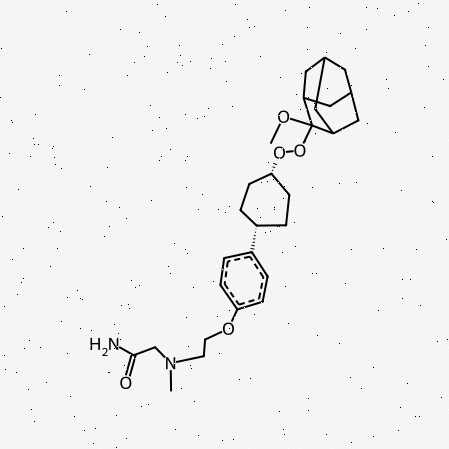 COC1(OO[C@H]2CC[C@@H](c3ccc(OCCN(C)CC(N)=O)cc3)CC2)C2CC3CC(C2)CC1C3